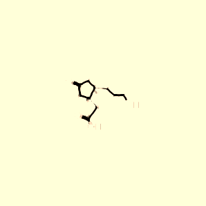 CCCC[C@@H]1CC(=O)C[C@@H]1CC(=O)O